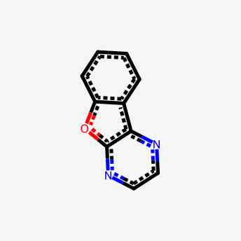 c1ccc2c(c1)oc1nccnc12